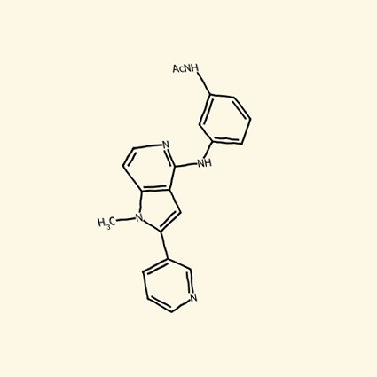 CC(=O)Nc1cccc(Nc2nccc3c2cc(-c2cccnc2)n3C)c1